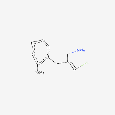 COc1ccccc1CC(=CF)CN